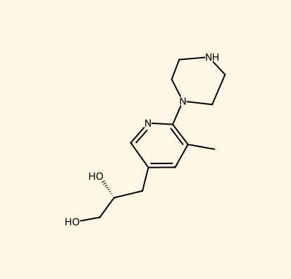 Cc1cc(C[C@@H](O)CO)cnc1N1CCNCC1